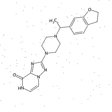 CC(c1ccc2c(c1)OCC2)N1CCN(c2nc3c(=O)[nH]ccn3n2)CC1